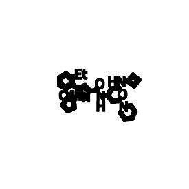 CCc1cccc(OC)c1-c1cc(C(=O)NC(CCN2CCCCC2)CC(=O)NC2CCC2)nn1C1CCCC1